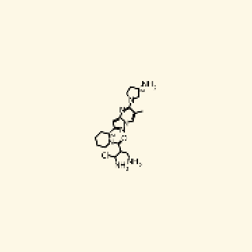 Cc1cn2nc([C@@H]3CCCCN3C(=O)C(CN)C(N)Cl)cc2nc1N1CC[C@H](N)C1